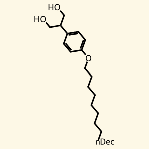 CCCCCCCCCCCCCCCCCCOc1ccc(C(CO)CO)cc1